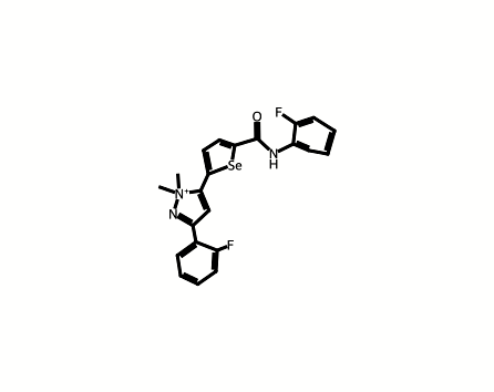 C[N+]1(C)N=C(c2ccccc2F)C=C1c1ccc(C(=O)Nc2ccccc2F)[se]1